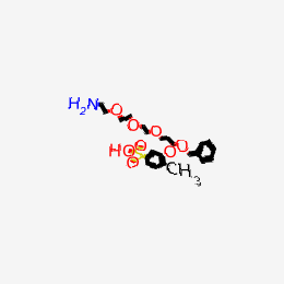 Cc1ccc(S(=O)(=O)O)cc1.NCCOCCOCCOCCC(=O)OCc1ccccc1